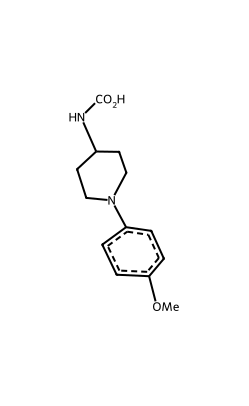 COc1ccc(N2CCC(NC(=O)O)CC2)cc1